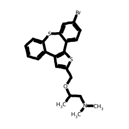 CC(CN(C)C)OCc1cc2c(s1)-c1ccc(Br)cc1Sc1ccccc1-2